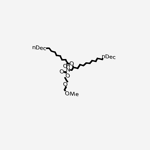 CCCCCCCCCCCCCCCCCCCC(CNC(=O)OCCOCCOC)OC(=O)CCCCCCCCCCCCCCCCC